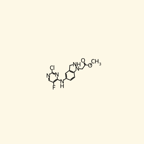 COC(=O)CN1NCc2cc(Nc3nc(Cl)ncc3F)ccc21